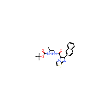 CC(CNC(=O)c1c(-c2ccc3ccccc3c2)nc2sccn12)NC(=O)OC(C)(C)C